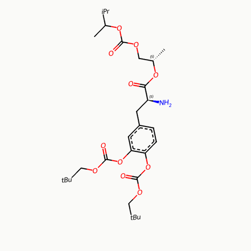 CC(C)C(C)OC(=O)OC[C@H](C)OC(=O)[C@@H](N)Cc1ccc(OC(=O)OCC(C)(C)C)c(OC(=O)OCC(C)(C)C)c1